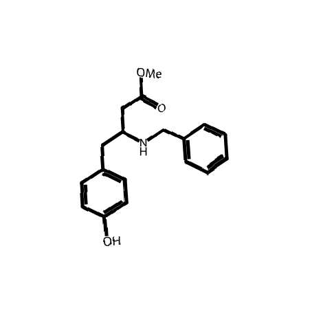 COC(=O)CC(Cc1ccc(O)cc1)NCc1ccccc1